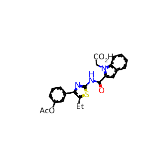 CCc1sc(NC(=O)c2cc3ccccc3n2CC(=O)O)nc1-c1cccc(OC(C)=O)c1